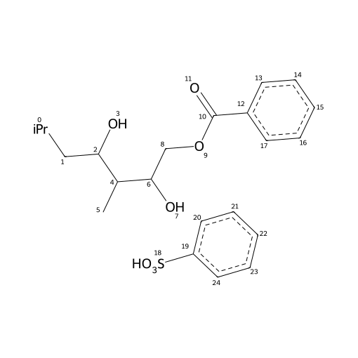 CC(C)CC(O)C(C)C(O)COC(=O)c1ccccc1.O=S(=O)(O)c1ccccc1